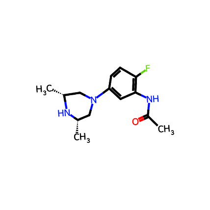 CC(=O)Nc1cc(N2C[C@@H](C)N[C@@H](C)C2)ccc1F